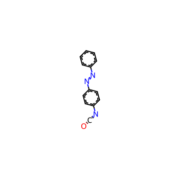 O=C=Nc1ccc(N=Nc2ccccc2)cc1